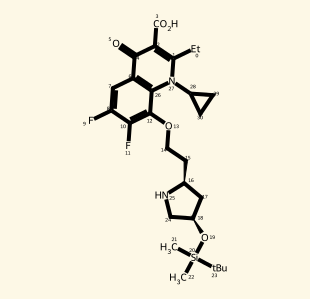 CCc1c(C(=O)O)c(=O)c2cc(F)c(F)c(OCC[C@H]3C[C@@H](O[Si](C)(C)C(C)(C)C)CN3)c2n1C1CC1